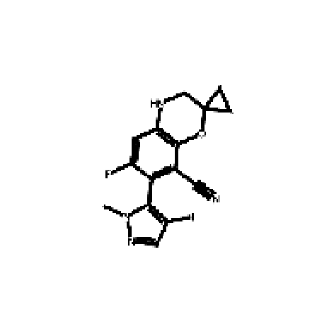 Cn1ncc(I)c1-c1c(F)cc2c(c1C#N)OC1(CC1)CN2